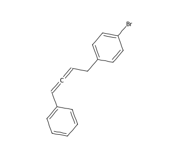 Brc1ccc(CC=C=Cc2ccccc2)cc1